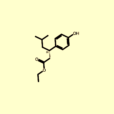 CCOC(=O)C[C@H](CC(C)C)c1ccc(O)cc1